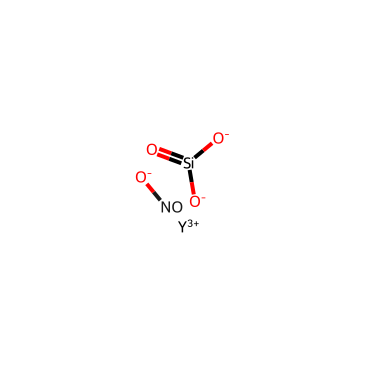 O=N[O-].O=[Si]([O-])[O-].[Y+3]